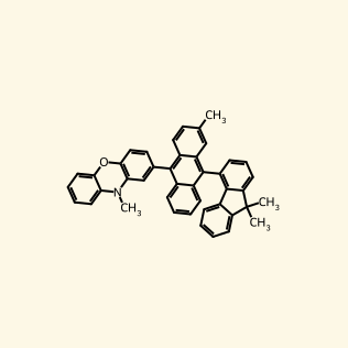 Cc1ccc2c(-c3ccc4c(c3)N(C)c3ccccc3O4)c3ccccc3c(-c3cccc4c3-c3ccccc3C4(C)C)c2c1